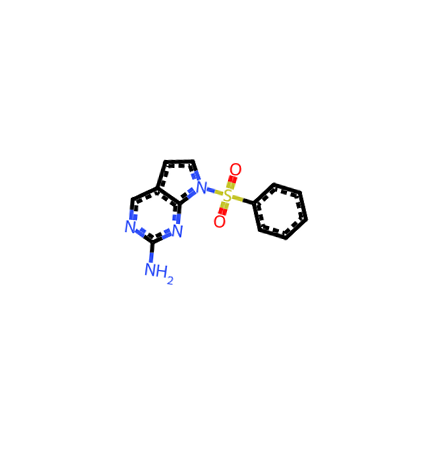 Nc1ncc2ccn(S(=O)(=O)c3ccccc3)c2n1